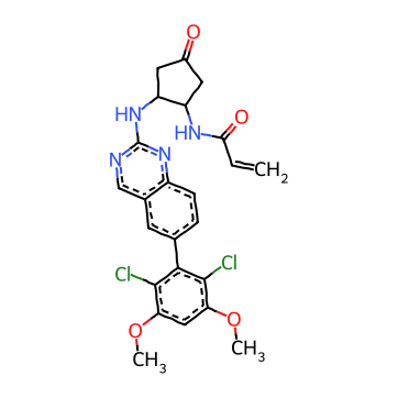 C=CC(=O)NC1CC(=O)CC1Nc1ncc2cc(-c3c(Cl)c(OC)cc(OC)c3Cl)ccc2n1